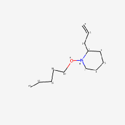 C=CCC1CCCCN1OCCCCC